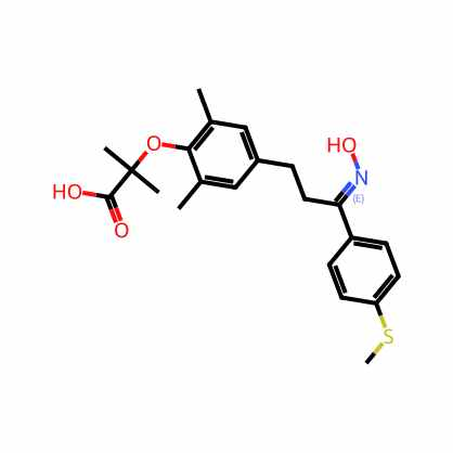 CSc1ccc(/C(CCc2cc(C)c(OC(C)(C)C(=O)O)c(C)c2)=N/O)cc1